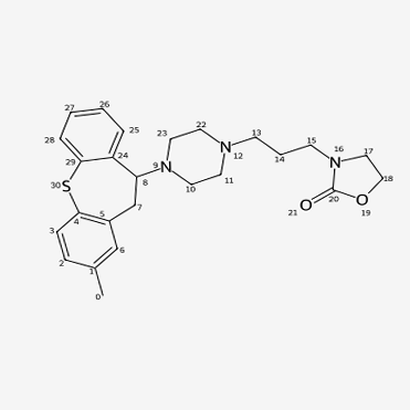 Cc1ccc2c(c1)CC(N1CCN(CCCN3CCOC3=O)CC1)c1ccccc1S2